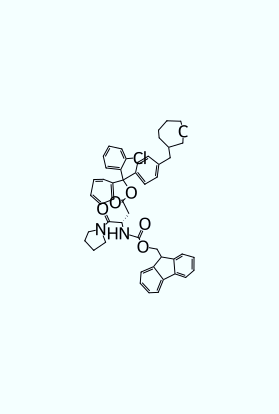 O=C(C[C@H](NC(=O)OCC1c2ccccc2-c2ccccc21)C(=O)N1CCCC1)OC(c1ccccc1)(c1ccc(CC2CCCCCC2)cc1)c1ccccc1Cl